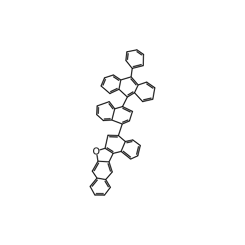 c1ccc(-c2c3ccccc3c(-c3ccc(-c4cc5oc6cc7ccccc7cc6c5c5ccccc45)c4ccccc34)c3ccccc23)cc1